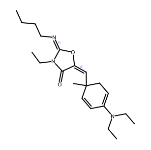 CCCC/N=C1/O/C(=C/C2(C)C=CC(N(CC)CC)=CC2)C(=O)N1CC